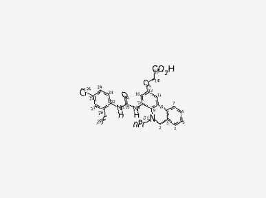 CCCN(Cc1ccccc1)c1ccc(OCC(=O)O)cc1NC(=O)Nc1ccc(Cl)cc1F